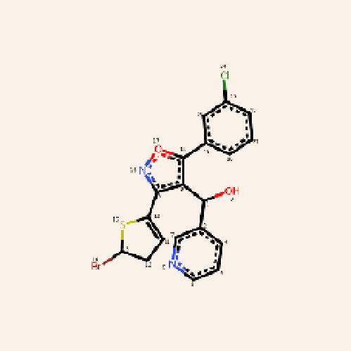 OC(c1cccnc1)c1c(C2=CCC(Br)S2)noc1-c1cccc(Cl)c1